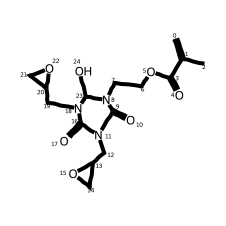 C=C(C)C(=O)OCCN1C(=O)N(CC2CO2)C(=O)N(CC2CO2)C1O